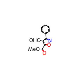 COC(=O)c1onc(-c2ccccc2)c1C=O